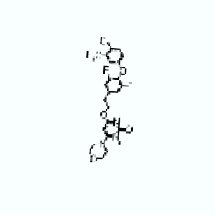 Cn1c(N2CCOCC2)cc(OCCc2cc(F)c(Oc3ccc(Cl)c(C(F)(F)F)c3)c(F)c2)nc1=O